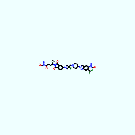 CC(CCC(=O)NC=O)N1C(=O)c2ccc(N3CC(F)(CN4CCC(n5cc6cc(NC=O)c(C(F)F)cc6n5)CC4)C3)cc2C1=O